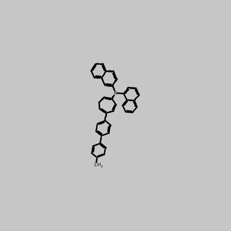 Cc1ccc(-c2ccc(C3=CCC=C(N(c4ccc5ccccc5c4)c4cccc5ccccc45)C=C3)cc2)cc1